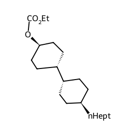 CCCCCCC[C@H]1CC[C@H]([C@H]2CC[C@H](OC(=O)OCC)CC2)CC1